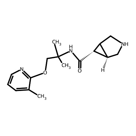 Cc1cccnc1OCC(C)(C)NC(=O)[C@@H]1C2CNC[C@H]21